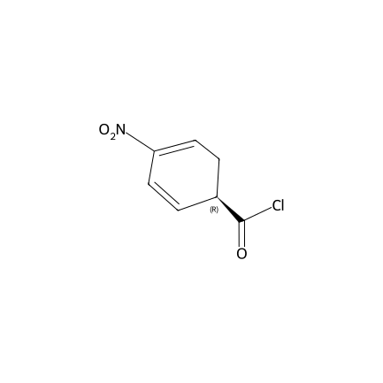 O=C(Cl)[C@H]1C=CC([N+](=O)[O-])=CC1